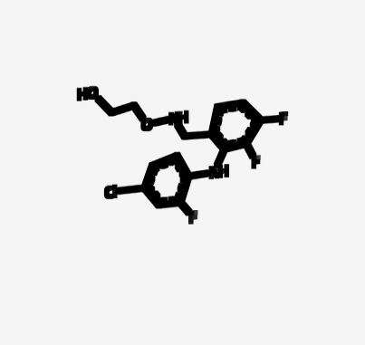 OCCONCc1ccc(F)c(F)c1Nc1ccc(Cl)cc1F